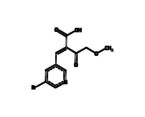 COCC(=O)/C(=C\c1cncc(Br)c1)C(=O)O